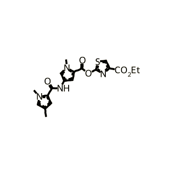 CCOC(=O)c1csc(OC(=O)c2cc(NC(=O)c3cc(C)cn3C)cn2C)n1